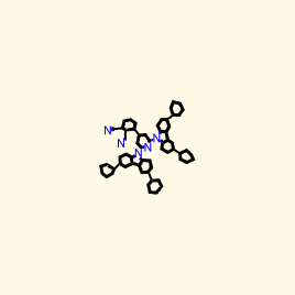 N#Cc1cccc(-c2cc(-n3c4ccc(-c5ccccc5)cc4c4cc(-c5ccccc5)ccc43)nc(-n3c4ccc(-c5ccccc5)cc4c4cc(-c5ccccc5)ccc43)c2)c1C#N